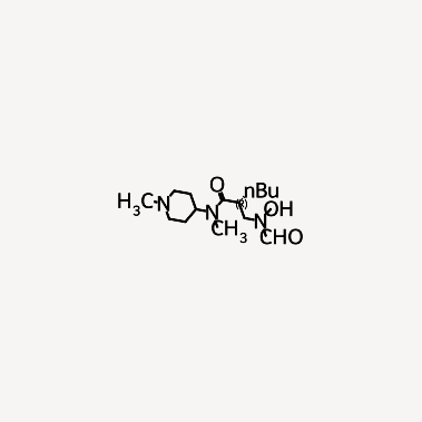 CCCC[C@H](CN(O)C=O)C(=O)N(C)C1CCN(C)CC1